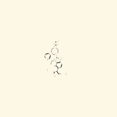 Cc1noc(C)c1-c1ccc2c3c1OC[C@H](c1ccccn1)N3C(N1CCCN(S(C)(=O)=O)CC1)N2